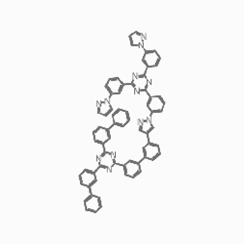 c1ccc(-c2cccc(-c3nc(-c4cccc(-c5ccccc5)c4)nc(-c4cccc(-c5cccc(-c6cnn(-c7cccc(-c8nc(-c9cccc(-n%10cccn%10)c9)nc(-c9cccc(-n%10cccn%10)c9)n8)c7)c6)c5)c4)n3)c2)cc1